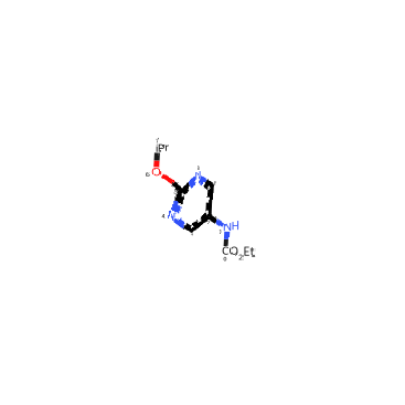 CCOC(=O)Nc1cnc(OC(C)C)nc1